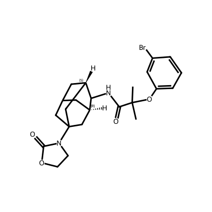 CC(C)(Oc1cccc(Br)c1)C(=O)NC1[C@@H]2CC3C[C@H]1CC(N1CCOC1=O)(C3)C2